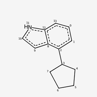 c1cc(C2CCCC2)c2cc[nH]c2c1